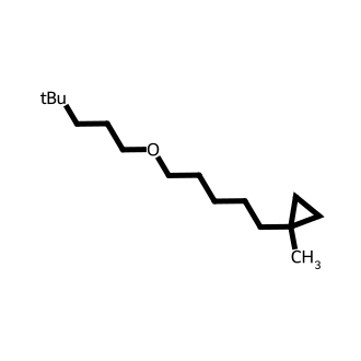 CC(C)(C)CCCOCCCCCC1(C)CC1